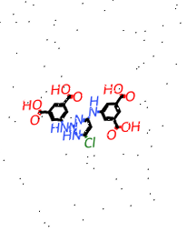 O=C(O)c1cc(NC2=NN(Nc3cc(C(=O)O)cc(C(=O)O)c3)NC(Cl)=C2)cc(C(=O)O)c1